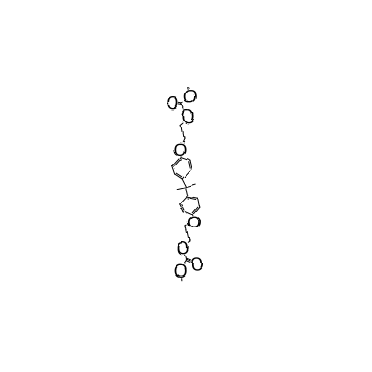 COC(=O)OCCOc1ccc(C(C)(C)c2ccc(OCCOC(=O)OC)cc2)cc1